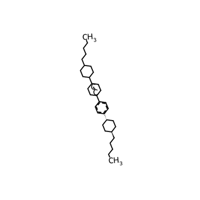 CCCCCC1CCC(C23CCC(c4ccc([C@H]5CC[C@H](CCCCC)CC5)cc4)(CC2)CC3)CC1